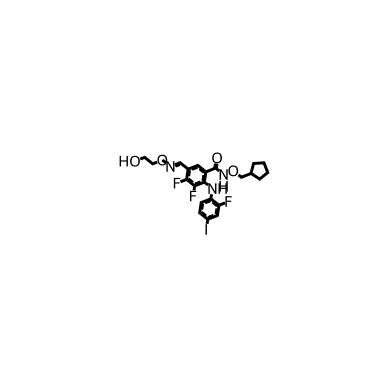 O=C(NOCC1CCCC1)c1cc(/C=N/OCCO)c(F)c(F)c1Nc1ccc(I)cc1F